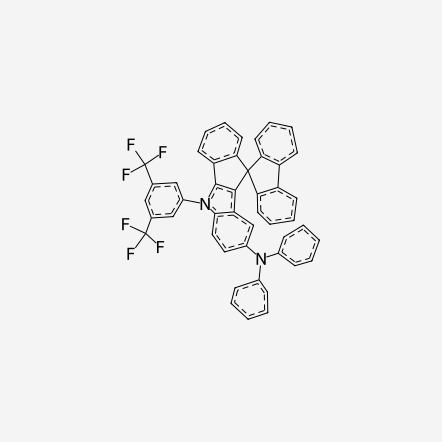 FC(F)(F)c1cc(-n2c3c(c4cc(N(c5ccccc5)c5ccccc5)ccc42)C2(c4ccccc4-c4ccccc42)c2ccccc2-3)cc(C(F)(F)F)c1